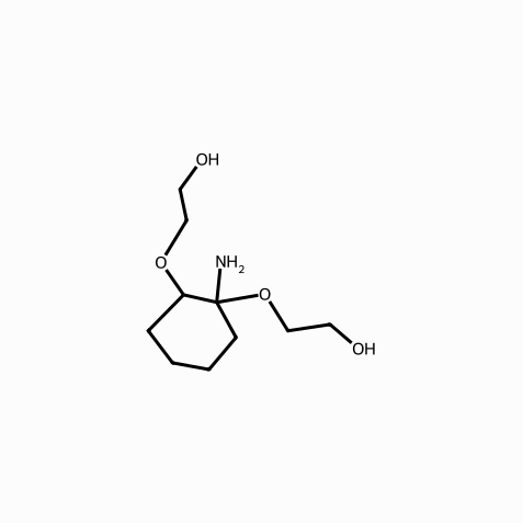 NC1(OCCO)CCCCC1OCCO